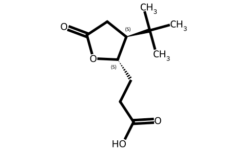 CC(C)(C)[C@@H]1CC(=O)O[C@H]1CCC(=O)O